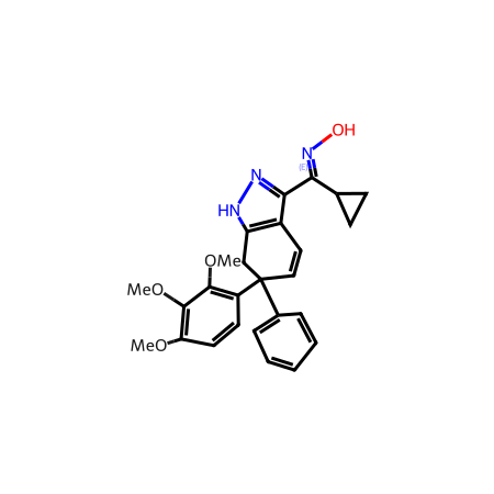 COc1ccc(C2(c3ccccc3)C=Cc3c(/C(=N/O)C4CC4)n[nH]c3C2)c(OC)c1OC